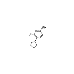 CC(C)c1ccc(C2CCCC2)c(F)c1